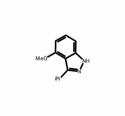 COc1cccc2[nH]nc(C(C)C)c12